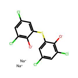 [Na+].[Na+].[O-]c1c(Cl)cc(Cl)cc1Sc1cc(Cl)cc(Cl)c1[O-]